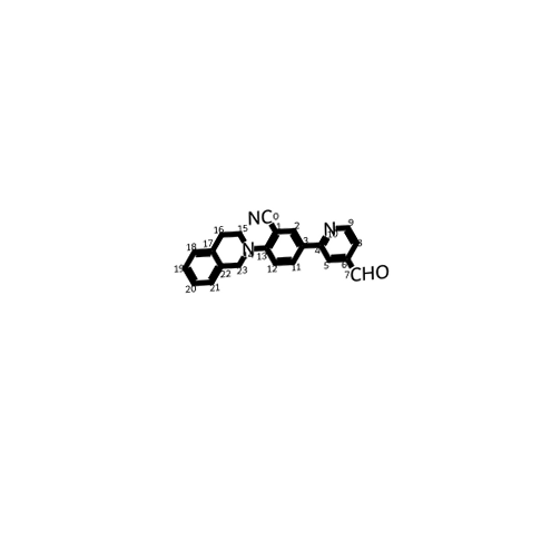 N#Cc1cc(-c2cc(C=O)ccn2)ccc1N1CCc2ccccc2C1